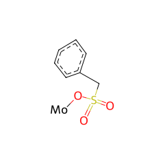 O=S(=O)(Cc1ccccc1)[O][Mo]